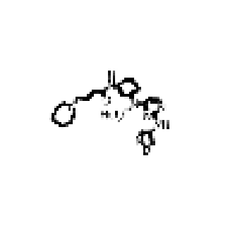 Cn1cc(Nc2nccc(N(C(=O)O)c3cccc(NC(=O)C=CCN4CCCCCC4)c3)n2)cn1